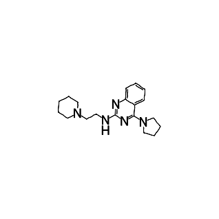 c1ccc2c(N3CCCC3)nc(NCCN3CCCCC3)nc2c1